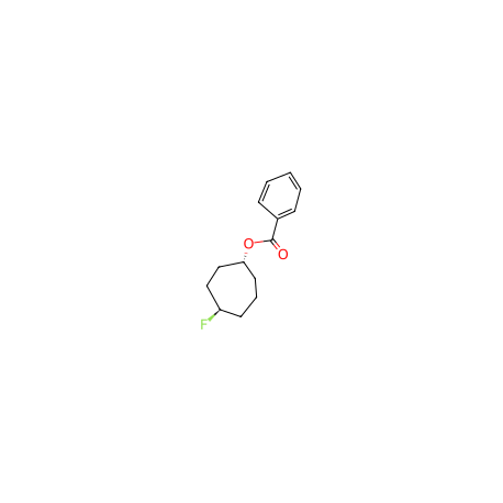 O=C(O[C@@H]1CCC[C@@H](F)CC1)c1ccccc1